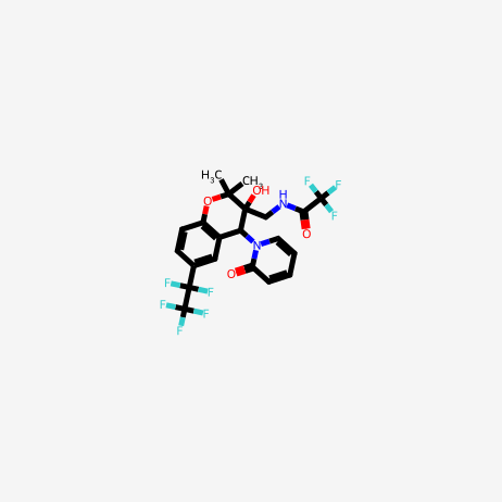 CC1(C)Oc2ccc(C(F)(F)C(F)(F)F)cc2C(n2ccccc2=O)C1(O)CNC(=O)C(F)(F)F